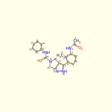 CC(=O)Nc1cccc(-c2[nH]nc3c2CN(C(=O)Nc2ccccc2)C3)c1C